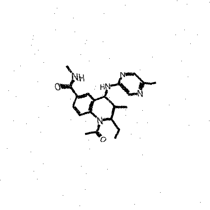 CCC1C(C)C(Nc2cnc(C)cn2)c2cc(C(=O)NC)ccc2N1C(C)=O